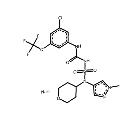 Cn1cc(N(C2CCOCC2)S(=O)(=O)NC(=O)Nc2cc(Cl)cc(OC(F)(F)F)c2)cn1.[NaH]